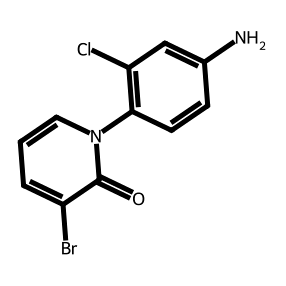 Nc1ccc(-n2cccc(Br)c2=O)c(Cl)c1